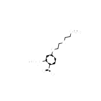 COCCOCCOc1ccc(I(=O)=O)c(C(=O)O)c1